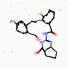 O=C(NC1=NC2CCCC2C(=O)N1)c1cccc(Cl)c1CCc1cc(Br)ccc1CO